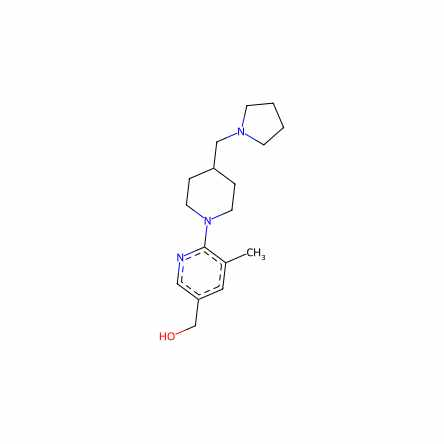 Cc1cc(CO)cnc1N1CCC(CN2CCCC2)CC1